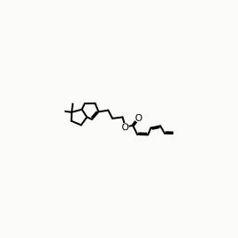 C=C/C=C\C=C/C(=O)OCCCC1=CC2CCC(C)(C)C2CC1